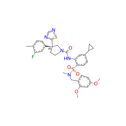 COc1ccc(CN(C)S(=O)(=O)c2ccc(C3CC3)cc2NC(=O)N2CC[C@](c3ccc(C)c(F)c3)(c3ncns3)C2)c(OC)c1